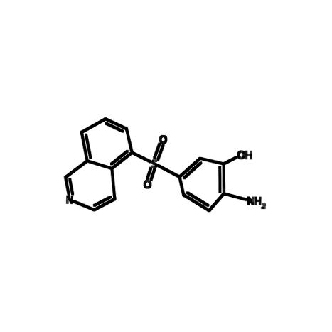 Nc1ccc(S(=O)(=O)c2cccc3cnccc23)cc1O